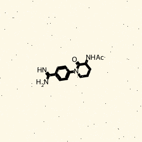 CC(=O)[N]C1CCCN(c2ccc(C(=N)N)cc2)C1=O